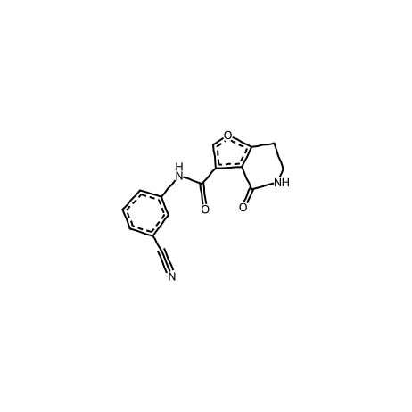 N#Cc1cccc(NC(=O)c2coc3c2C(=O)NCC3)c1